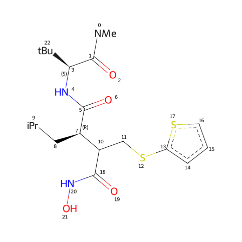 CNC(=O)[C@@H](NC(=O)[C@H](CC(C)C)C(CSc1cccs1)C(=O)NO)C(C)(C)C